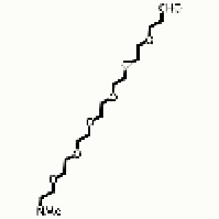 CNCCOCCOCCOCCOCCOCCOCCC=O